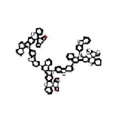 c1ccc2c(c1)Oc1cc3c4ccc5ccccc5c4n(-c4ccc5c(c4)sc4ccc(-c6cc7c8cc9c(cc8n(-c8ccc%10c(c8)oc8ccc(-c%11cc%12c%13cc%14c(cc%13n(-c%13ccc%15oc%16ccccc%16c%15c%13)c%12c%12ccccc%11%12)C%11(c%12ccccc%12O%14)c%12ccccc%12-c%12ccccc%12%11)cc8%10)c7c7ccccc67)C6(c7ccccc7O9)c7ccccc7-c7ccccc76)cc45)c3cc1C21c2ccccc2-c2ccccc21